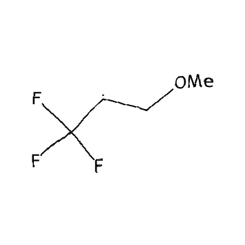 COC[CH]C(F)(F)F